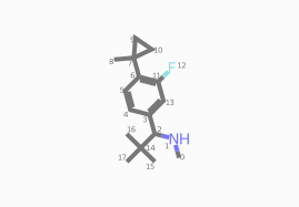 CNC(c1ccc(C2(C)CC2)c(F)c1)C(C)(C)C